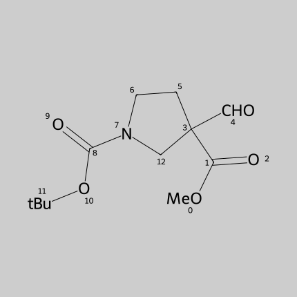 COC(=O)C1(C=O)CCN(C(=O)OC(C)(C)C)C1